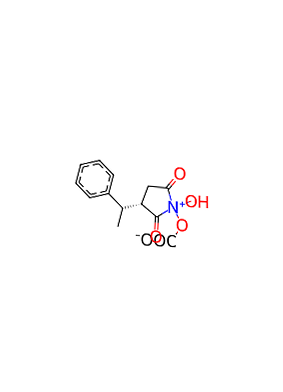 CC(c1ccccc1)[C@@H]1CC(=O)[N+](O)(OC(=O)[O-])C1=O